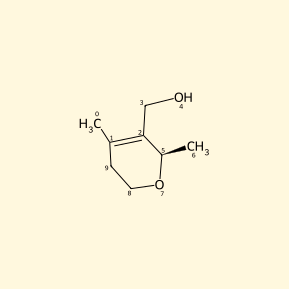 CC1=C(CO)[C@@H](C)OCC1